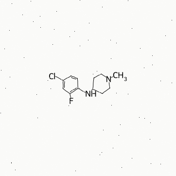 CN1CCC(Nc2ccc(Cl)cc2F)CC1